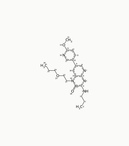 CCCNc1nc2ncc(-c3ccc(OC)nc3)cc2n(CCOCCC)c1=O